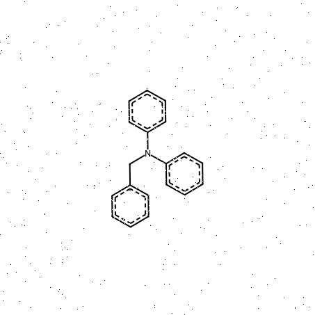 [c]1ccc(N(Cc2ccccc2)c2ccccc2)cc1